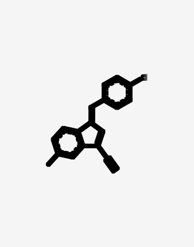 C#CC1=CC(=Cc2ccc(Cl)cc2)c2ccc(C)cc21